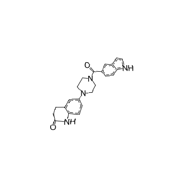 O=C1CCc2cc(N3CCN(C(=O)c4ccc5[nH]ccc5c4)CC3)ccc2N1